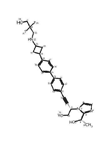 C[C@H](O)c1nccn1[C@@H](C#Cc1ccc(-c2ccc(C3CC(NCC(F)(F)CO)C3)cc2)cc1)CO